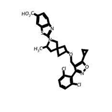 CC1CC2(CC(OCc3c(-c4c(Cl)cccc4Cl)noc3C3CC3)C2)CN1c1nc2ccc(C(=O)O)cc2s1